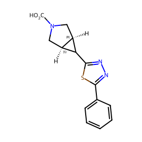 O=C(O)N1C[C@@H]2C(c3nnc(-c4ccccc4)s3)[C@@H]2C1